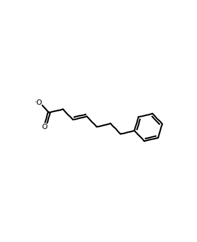 [O]C(=O)CC=CCCCc1ccccc1